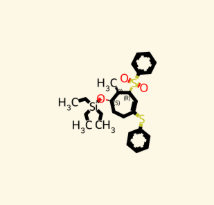 CC[Si](CC)(CC)O[C@H]1CCC(Sc2ccccc2)=C[C@H](S(=O)(=O)c2ccccc2)[C@@H]1C